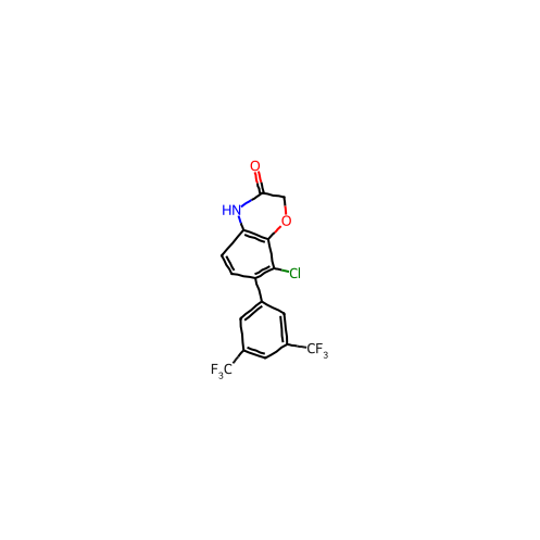 O=C1COc2c(ccc(-c3cc(C(F)(F)F)cc(C(F)(F)F)c3)c2Cl)N1